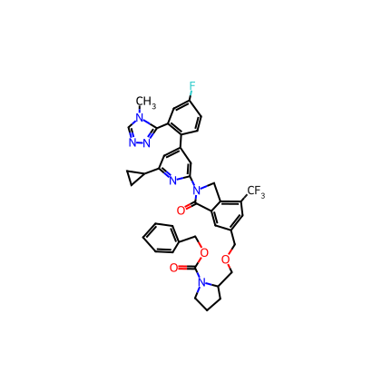 Cn1cnnc1-c1cc(F)ccc1-c1cc(C2CC2)nc(N2Cc3c(cc(COCC4CCCN4C(=O)OCc4ccccc4)cc3C(F)(F)F)C2=O)c1